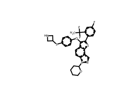 CC(F)(F)c1cc(F)ccc1-c1sc2c(ccc3c2cnn3C2CCCCO2)c1Oc1ccc(SC2CNC2)cc1